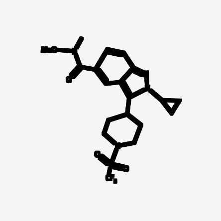 CON(C)C(=O)c1ccc2nn(C3CC3)c(C3CCN(S(=O)(=O)C(F)(F)F)CC3)c2c1